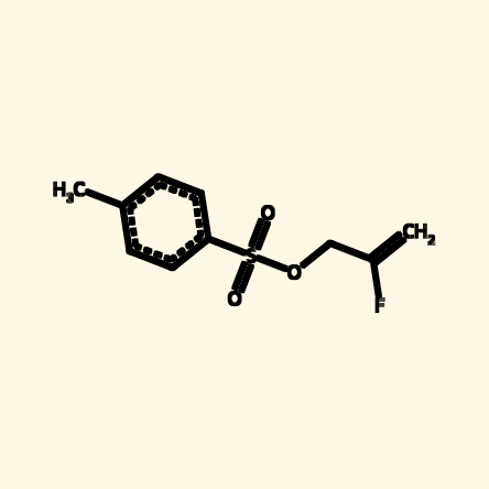 C=C(F)COS(=O)(=O)c1ccc(C)cc1